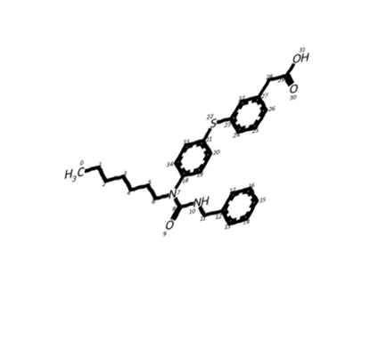 CCCCCCCN(C(=O)NCc1ccccc1)c1ccc(Sc2cccc(CC(=O)O)c2)cc1